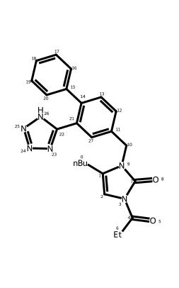 CCCCc1cn(C(=O)CC)c(=O)n1Cc1ccc(-c2ccccc2)c(-c2nnn[nH]2)c1